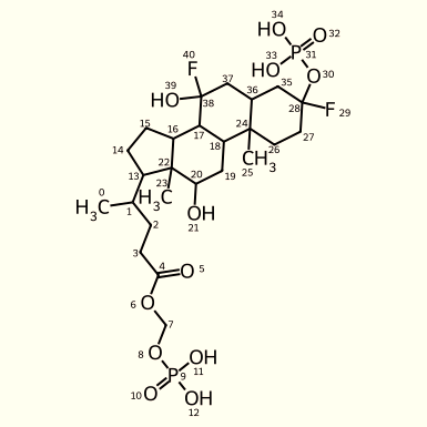 CC(CCC(=O)OCOP(=O)(O)O)C1CCC2C3C(CC(O)C12C)C1(C)CCC(F)(OP(=O)(O)O)CC1CC3(O)F